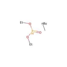 CCCCC.CCO[PH](=O)OCC